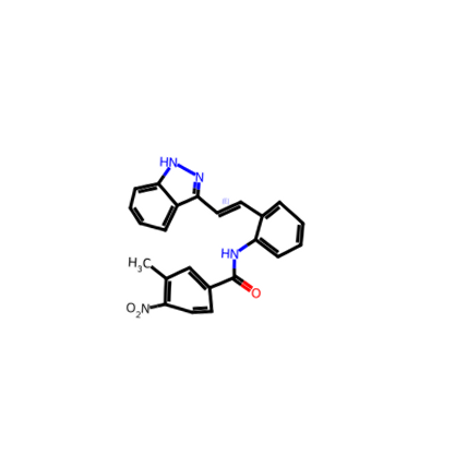 Cc1cc(C(=O)Nc2ccccc2/C=C/c2n[nH]c3ccccc23)ccc1[N+](=O)[O-]